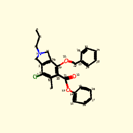 CCCN1Cc2c(Cl)c(C)c(C(=O)Oc3ccccc3)c(OCc3ccccc3)c2C1